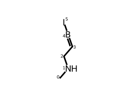 CNCC=BI